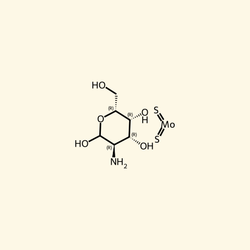 N[C@H]1C(O)O[C@H](CO)[C@H](O)[C@@H]1O.[S]=[Mo]=[S]